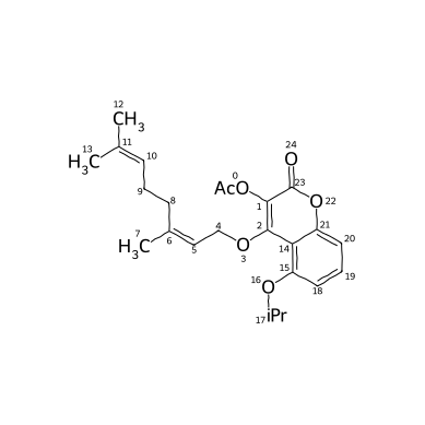 CC(=O)Oc1c(OCC=C(C)CCC=C(C)C)c2c(OC(C)C)cccc2oc1=O